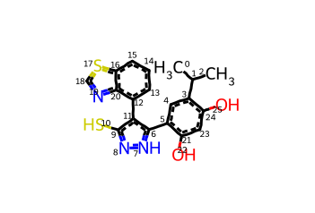 CC(C)c1cc(-c2[nH]nc(S)c2-c2cccc3scnc23)c(O)cc1O